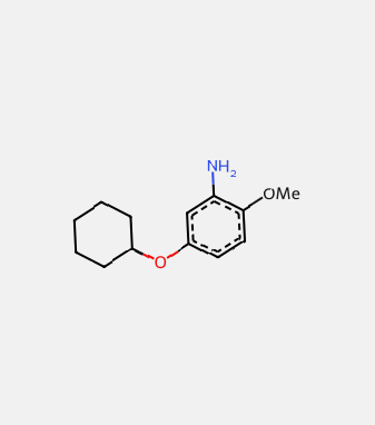 COc1ccc(OC2CCCCC2)cc1N